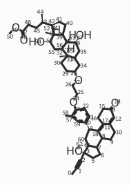 CC#C[C@]1(O)CCC2C3CCC4=CC(=O)CCC4=C3[C@@H](c3ccc(OCCO[C@H]4CC[C@@]5(C)C(C4)C[C@@H](O)[C@H]4[C@@H]6CC[C@H]([C@H](C)CCC(=O)OC)[C@@]6(C)[C@@H](O)C[C@@H]45)c(C)c3)C[C@@]21C